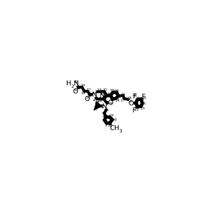 Cc1ccc(CCN(C(=O)C2=C(c3ccc(CCCOc4c(F)ccc(F)c4F)cc3)CC3CN(C(=O)CCCC(N)=O)CC2N3)C2CC2)cc1